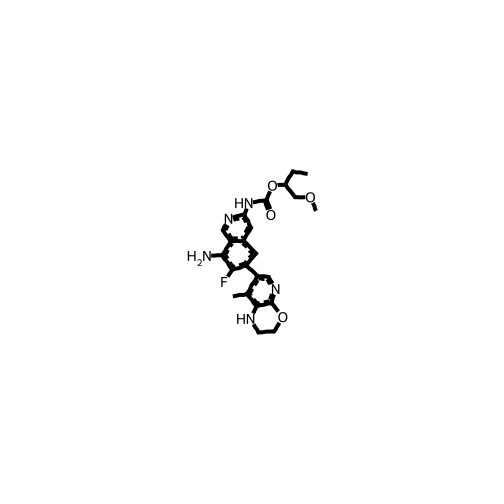 CCC(COC)OC(=O)Nc1cc2cc(-c3cnc4c(c3C)NCCO4)c(F)c(N)c2cn1